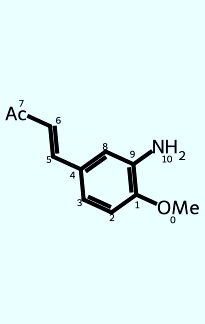 COc1ccc(/C=C/C(C)=O)cc1N